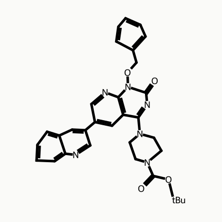 CC(C)(C)OC(=O)N1CCN(c2nc(=O)n(OCc3ccccc3)c3ncc(-c4cnc5ccccc5c4)cc23)CC1